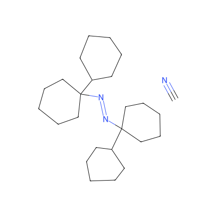 C#N.C1CCC(C2(N=NC3(C4CCCCC4)CCCCC3)CCCCC2)CC1